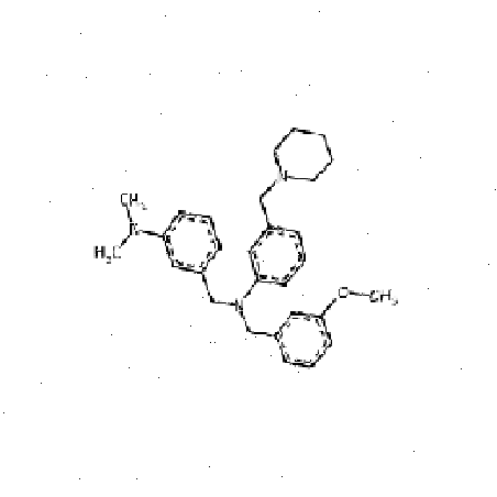 COc1cccc(CN(Cc2cccc(N(C)C)c2)c2cccc(CN3CCCCC3)c2)c1